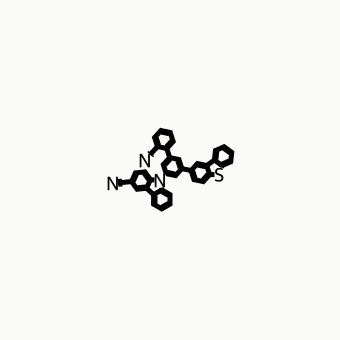 N#Cc1ccc2c(c1)c1ccccc1n2-c1cc(-c2ccc3sc4ccccc4c3c2)cc(-c2ccccc2C#N)c1